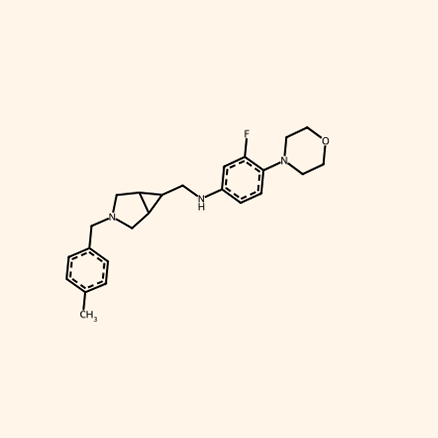 Cc1ccc(CN2CC3C(CNc4ccc(N5CCOCC5)c(F)c4)C3C2)cc1